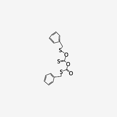 O=C(OC(=S)OSCc1ccccc1)SCc1ccccc1